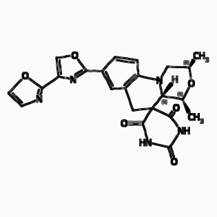 C[C@@H]1CN2c3ccc(-c4nc(-c5ncco5)co4)cc3CC3(C(=O)NC(=O)NC3=O)[C@H]2[C@H](C)O1